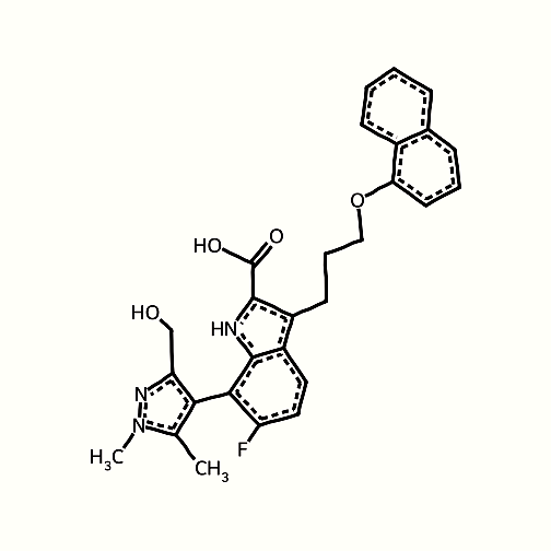 Cc1c(-c2c(F)ccc3c(CCCOc4cccc5ccccc45)c(C(=O)O)[nH]c23)c(CO)nn1C